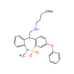 COCCCNCC1c2ccccc2N(C)S(=O)(=O)c2cc(Oc3ccccc3)ccc21